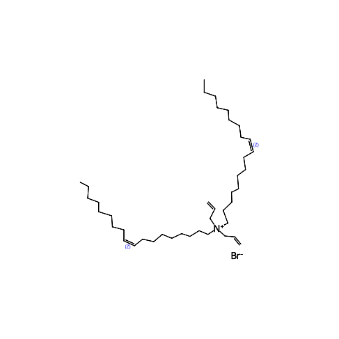 C=CC[N+](CC=C)(CCCCCCCC/C=C\CCCCCCCC)CCCCCCCC/C=C\CCCCCCCC.[Br-]